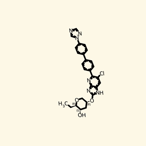 CC[C@H]1OC[C@H](Oc2nc3nc(-c4ccc(-c5ccc(-n6cncn6)cc5)cc4)c(Cl)cc3[nH]2)C[C@@H]1O